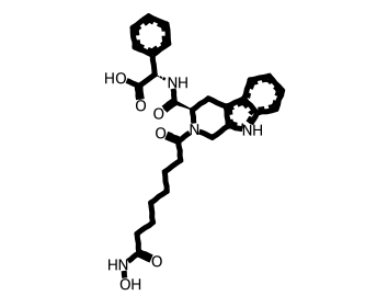 O=C(CCCCCCC(=O)N1Cc2[nH]c3ccccc3c2C[C@@H]1C(=O)N[C@H](C(=O)O)c1ccccc1)NO